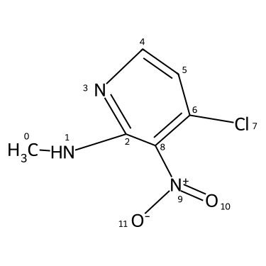 CNc1nccc(Cl)c1[N+](=O)[O-]